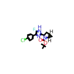 CC(C)(C)OC(=O)N1C(c2nc(-c3ccc(Cl)cc3)c(F)[nH]2)C[C@H]2C[C@H]21